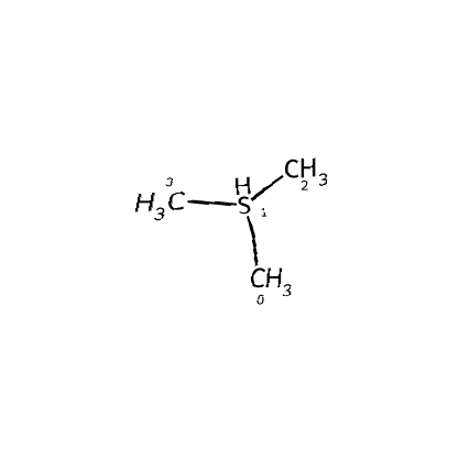 C[SH](C)C